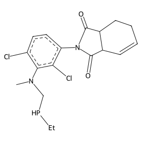 CCPCN(C)c1c(Cl)ccc(N2C(=O)C3C=CCCC3C2=O)c1Cl